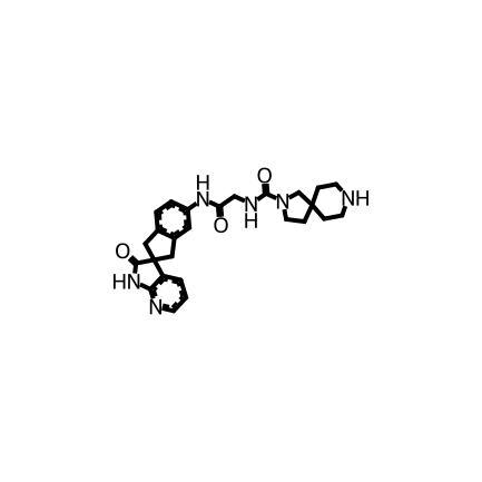 O=C(CNC(=O)N1CCC2(CCNCC2)C1)Nc1ccc2c(c1)CC1(C2)C(=O)Nc2ncccc21